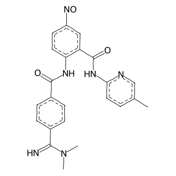 Cc1ccc(NC(=O)c2cc(N=O)ccc2NC(=O)c2ccc(C(=N)N(C)C)cc2)nc1